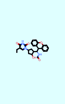 CCc1cn(C2CC(O)C([C@H](NC=O)C3c4ccccc4Oc4ccccc43)C2)c(=O)[nH]c1=O